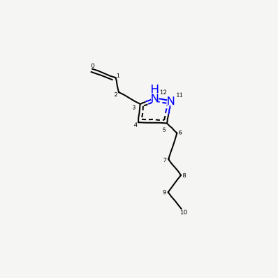 C=CCc1cc(CCCCC)n[nH]1